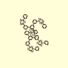 CC(C)(c1ccccc1-c1cc(-c2cccc(-c3ncnc(-c4ccccc4)n3)c2)cc(-c2cccc(-c3ncnc(-c4ccccc4)n3)c2)c1)c1ccccc1-c1cc(-c2cccc(-c3ncnc(-c4ccccc4)n3)c2)cc(-c2cccc(-c3ncnc(-c4ccccc4)n3)c2)c1